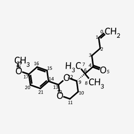 C=CCCC(=O)C(C)(C)[C@@H]1CCOC(c2ccc(OC)cc2)O1